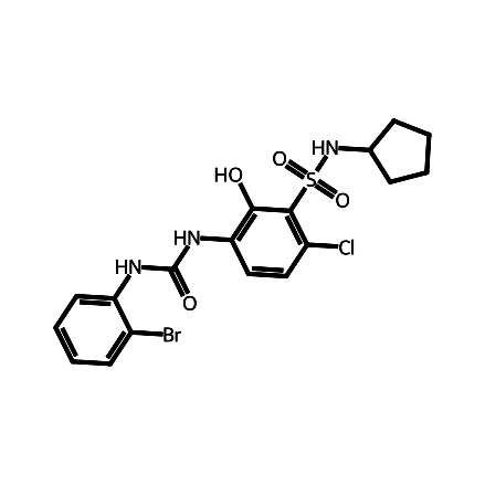 O=C(Nc1ccccc1Br)Nc1ccc(Cl)c(S(=O)(=O)NC2CCCC2)c1O